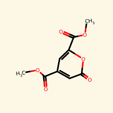 COC(=O)c1cc(C(=O)OC)oc(=O)c1